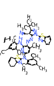 Cc1cc(C)c(Nc2nc(N(c3nc4c(s3)C=CCC4)c3c(C)cc(C)cc3C)cc(C)c2N=Nc2c(C#N)c(C(C)(C)C)nn2-c2nc3ccccc3s2)c(C)c1